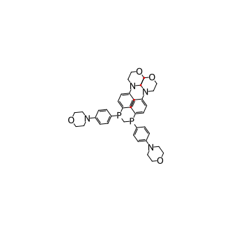 c1cc(P(CP(c2ccc(N3CCOCC3)cc2)c2ccc(N3CCOCC3)cc2)c2ccc(N3CCOCC3)cc2)ccc1N1CCOCC1